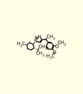 COc1ccc(C(C)c2cn([C@@H]3C[C@H](C)CC[C@H]3C(C)C)nn2)cc1OC